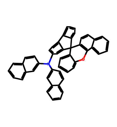 c1ccc2c(c1)Oc1c(ccc3ccccc13)C21c2ccccc2-c2ccc(N(c3ccc4ccccc4c3)c3ccc4ccccc4c3)cc21